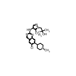 CN1CCC(c2cc3nc(Nc4cnn(CC(C)(C)O)c4Cl)ncc3cc2Cl)CC1